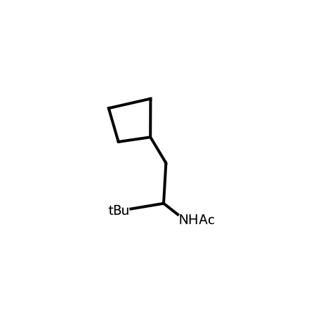 CC(=O)NC(CC1CCC1)C(C)(C)C